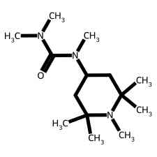 CN(C)C(=O)N(C)C1CC(C)(C)N(C)C(C)(C)C1